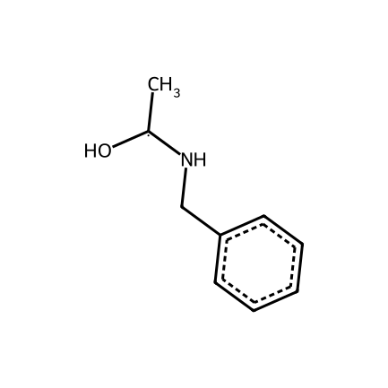 C[C](O)NCc1ccccc1